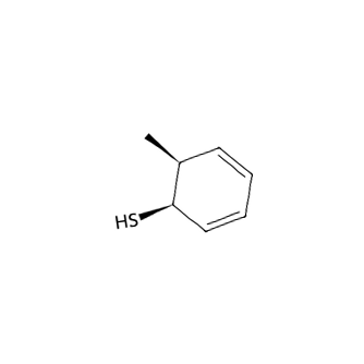 C[C@H]1C=CC=C[C@H]1S